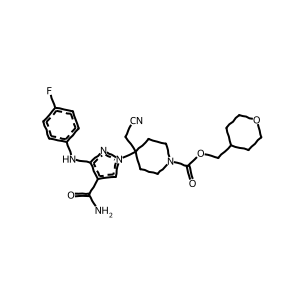 N#CCC1(n2cc(C(N)=O)c(Nc3ccc(F)cc3)n2)CCN(C(=O)OCC2CCOCC2)CC1